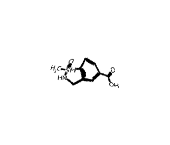 C[SH]1(=O)NCc2cc(C(=O)O)ccc21